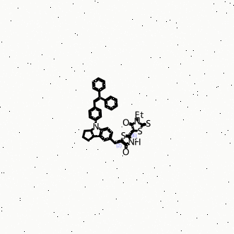 CCN1C(=O)/C(=c2/[nH]c(=O)/c(=C/c3ccc4c(c3)C3CCCC3N4c3ccc(C=C(c4ccccc4)c4ccccc4)cc3)s2)SC1=S